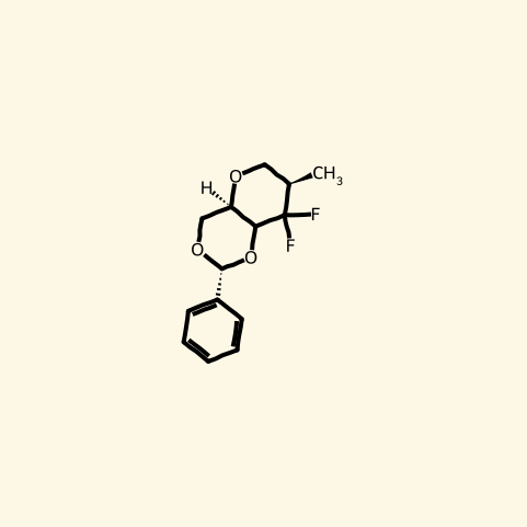 C[C@@H]1CO[C@@H]2CO[C@@H](c3ccccc3)OC2C1(F)F